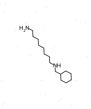 NCCCCCCCCNCC1CCCCC1